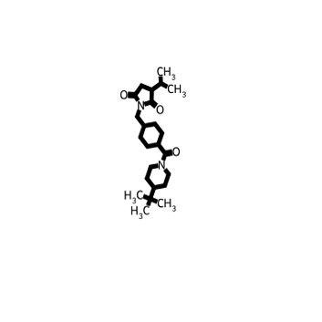 CC(C)C1CC(=O)N(CC2CCC(C(=O)N3CCC(C(C)(C)C)CC3)CC2)C1=O